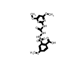 COc1cc(OC)nc(NC(=O)NNS(=O)(=O)c2cc(SC)ccc2C(=O)O)n1